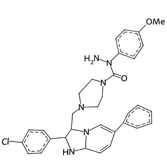 COc1ccc(N(N)C(=O)N2CCN(CC3C(c4ccc(Cl)cc4)NC4C=CC(c5ccccc5)=CN43)CC2)cc1